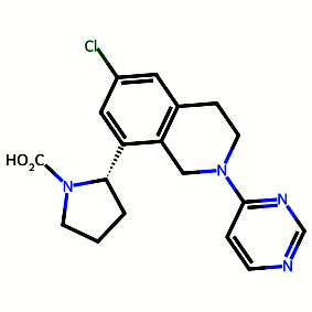 O=C(O)N1CCC[C@H]1c1cc(Cl)cc2c1CN(c1ccncn1)CC2